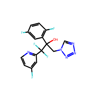 OC(Cn1cnnn1)(c1cc(F)ccc1F)C(F)(F)c1cc(F)ccn1